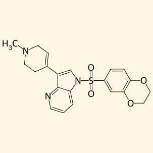 CN1CC=C(c2cn(S(=O)(=O)c3ccc4c(c3)OCCO4)c3cccnc23)CC1